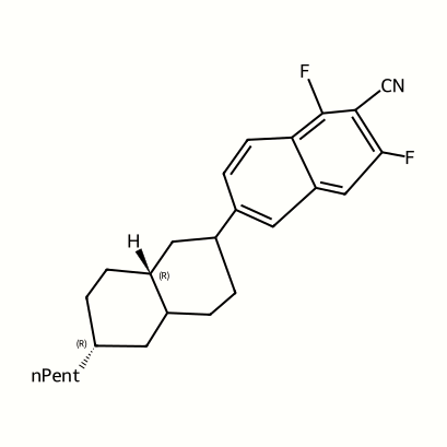 CCCCC[C@@H]1CC[C@@H]2CC(c3ccc4c(F)c(C#N)c(F)cc4c3)CCC2C1